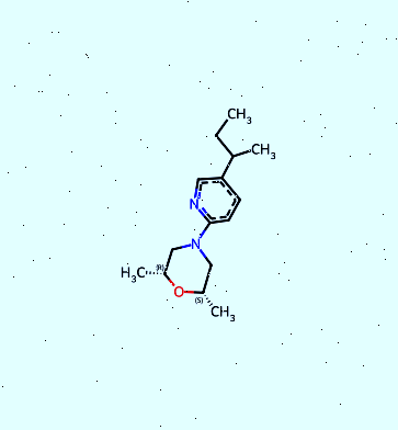 CCC(C)c1ccc(N2C[C@@H](C)O[C@@H](C)C2)nc1